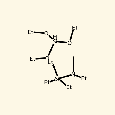 CCN(C)[Si](CC)(CC)CC.CCO[SiH](OCC)OCC